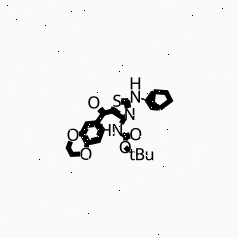 CC(C)(C)OC(=O)Nc1nc(N[C@H]2CC3CCC2C3)sc1C(=O)c1ccc2c(c1)OCCO2